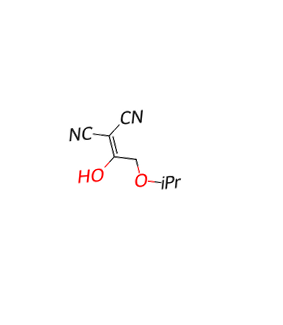 CC(C)OCC(O)=C(C#N)C#N